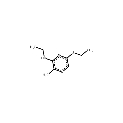 CCNc1nc(SCC)cnc1C